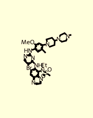 CCN(c1c(Nc2nc(Nc3cc(C)c(N4CCC(N5CCN(C)CC5)CC4)cc3OC)ncc2Br)ccc2nccnc12)S(C)(=O)=O